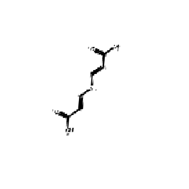 O=C(O)C=CSC=CC(=O)O